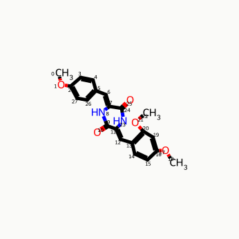 COc1ccc(C=c2[nH]c(=O)c(=Cc3ccc(OC)cc3OC)[nH]c2=O)cc1